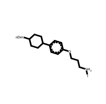 CCCCCCCCCCC1CCC(c2ccc(OCCC[SiH2]I)cc2)CC1